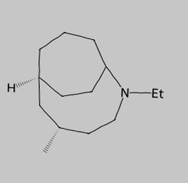 CCN1CC[C@H](C)C[C@H]2CCCC1CC2